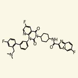 CN(C)Cc1cc(F)ccc1-c1cccc(-n2c(=O)n(C3CCC(NC(=O)c4cn5cc(F)ccc5n4)CC3)c(=O)c3cc(F)cnc32)c1